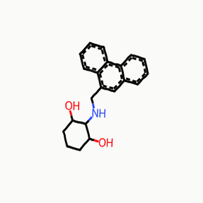 OC1CCCC(O)C1NCc1cc2ccccc2c2ccccc12